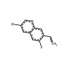 [CH2]Cc1cnc2cc(C=C)c(F)cc2c1